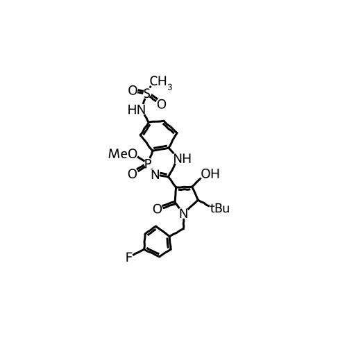 COP1(=O)N=C(C2=C(O)C(C(C)(C)C)N(Cc3ccc(F)cc3)C2=O)Nc2ccc(NS(C)(=O)=O)cc21